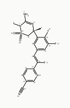 CN1C(N)=N[C@](C)(c2cc(/C=C(\F)c3ccc(C#N)cn3)cc(F)c2F)CS1(=O)=O